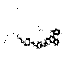 COCCN1CCN(CCc2ccc(Nc3ncc4c(n3)-c3ccccc3[C@@H](c3ccccc3Cl)C4)cc2)CC1.Cl